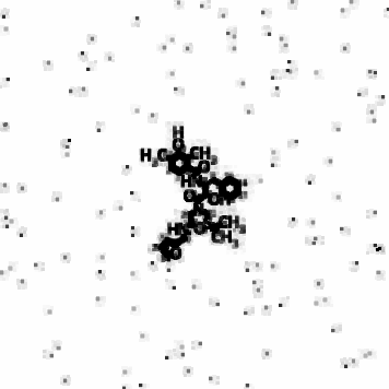 Cc1ccc(C(=O)N[C@@H](Cc2ccccc2)[C@H](O)C(=O)N(CSC(C)C)CC(=O)NCc2ccco2)c(C)c1O